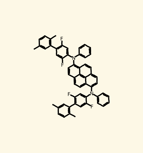 Cc1ccc(C)c(-c2cc(F)c(N(c3ccccc3)c3ccc4ccc5c(N(c6ccccc6)c6cc(F)c(-c7cc(C)ccc7C)cc6F)ccc6ccc3c4c65)cc2F)c1